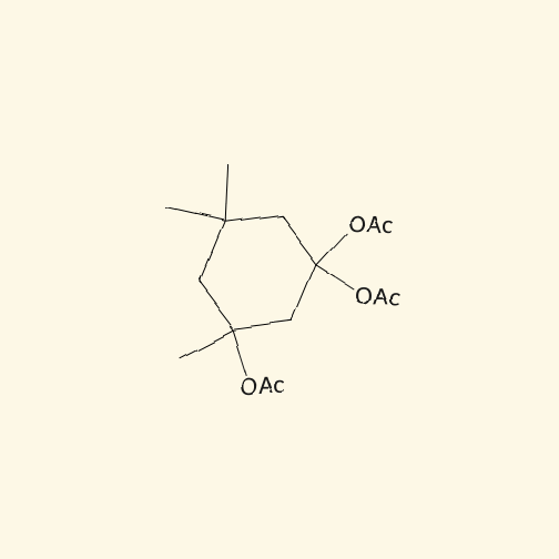 CC(=O)OC1(C)CC(C)(C)CC(OC(C)=O)(OC(C)=O)C1